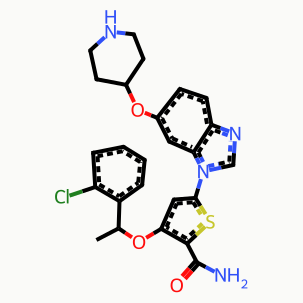 CC(Oc1cc(-n2cnc3ccc(OC4CCNCC4)cc32)sc1C(N)=O)c1ccccc1Cl